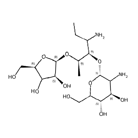 CCC(N)[C@@H](O[C@H]1OC(CO)[C@@H](O)[C@H](O)C1N)[C@@H](C)O[C@@H]1O[C@H](CO)C(O)[C@@H]1O